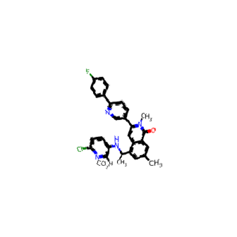 Cc1cc([C@@H](C)Nc2ccc(Cl)nc2C(=O)O)c2cc(-c3ccc(-c4ccc(F)cc4)nc3)n(C)c(=O)c2c1